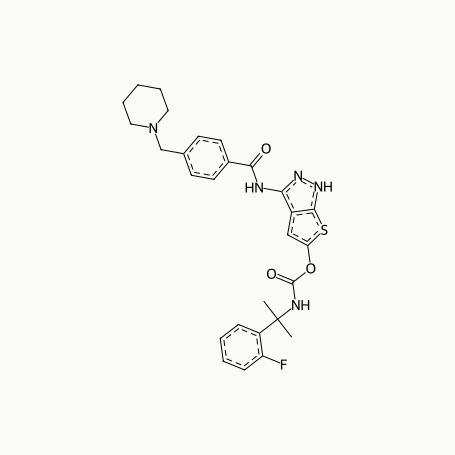 CC(C)(NC(=O)Oc1cc2c(NC(=O)c3ccc(CN4CCCCC4)cc3)n[nH]c2s1)c1ccccc1F